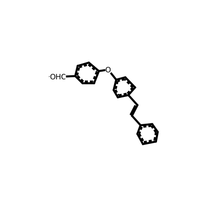 O=[C]c1ccc(Oc2ccc(C=Cc3ccccc3)cc2)cc1